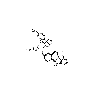 O=C(O)[C@@H](Cc1ccc2nc(-c3c(Cl)cccc3Cl)ccc2c1)NC(=O)C1(c2ccc(Cl)cc2)CCCC1